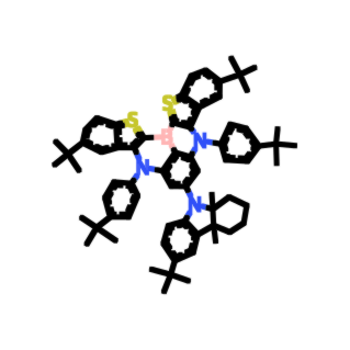 CC(C)(C)c1ccc(N2c3cc(N4c5ccc(C(C)(C)C)cc5C5(C)CCCCC45C)cc4c3B(c3sc5ccc(C(C)(C)C)cc5c32)c2sc3ccc(C(C)(C)C)cc3c2N4c2ccc(C(C)(C)C)cc2)cc1